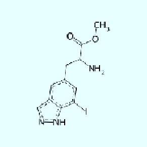 COC(=O)C(N)Cc1cc(I)c2[nH]ncc2c1